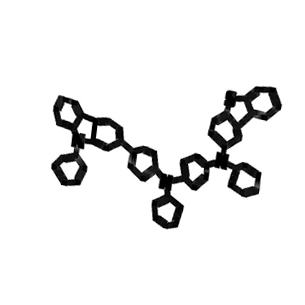 c1ccc(N(c2ccc(-c3ccc4c5ccccc5n(-c5ccccc5)c4c3)cc2)c2ccc(N(c3ccccc3)c3ccc4sc5ccccc5c4c3)cc2)cc1